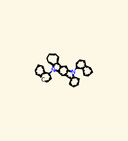 C1=CCC=c2c(c3cc4c(cc3n2-c2cccc3ccccc23)c2ccccc2n4-c2cccc3ccccc23)=C1